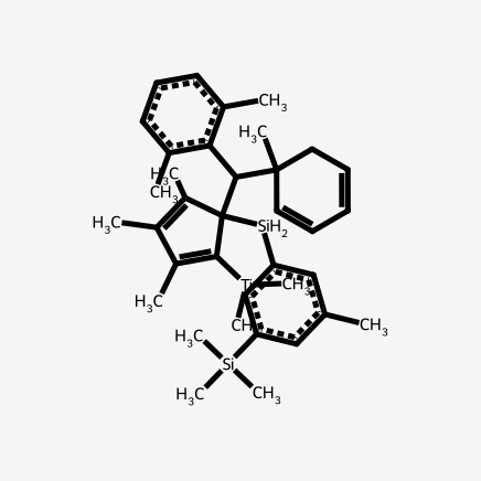 CC1=C(C)C([SiH2]c2cc(C)cc([Si](C)(C)C)c2)(C(c2c(C)cccc2C)C2(C)C=CC=CC2)[C]([Ti]([CH3])[CH3])=C1C